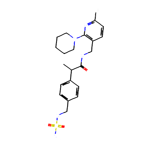 CC(C(=O)NCc1ccc(C(F)(F)F)nc1N1CCCCC1)c1ccc(CNS(N)(=O)=O)cc1